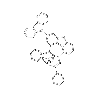 c1ccc(-c2nc(-c3ccccc3)nc(-c3cccc4oc5cc(-n6c7ccccc7c7ccccc76)cc(-c6ccccc6)c5c34)n2)cc1